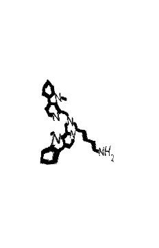 Cn1c2ccccc2c2ccnc(CN(CCCCCCN)Cc3nccc4c5ccccc5n(C)c34)c21